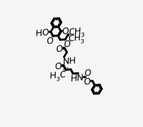 C[C@@H](CCCNC(=O)OCc1ccccc1)C(=O)NCCC(=O)OC1CC2=C(OC1(C)C)c1ccccc1C(O)C2=O